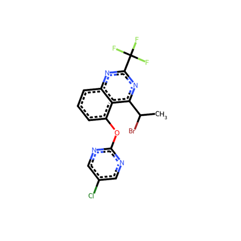 CC(Br)c1nc(C(F)(F)F)nc2cccc(Oc3ncc(Cl)cn3)c12